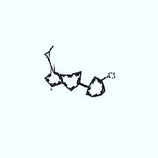 CC1CC1n1c[c]c2cc(-c3cccc(Cl)c3)ccc21